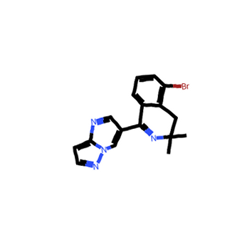 CC1(C)Cc2c(Br)cccc2C(c2cnc3ccnn3c2)=N1